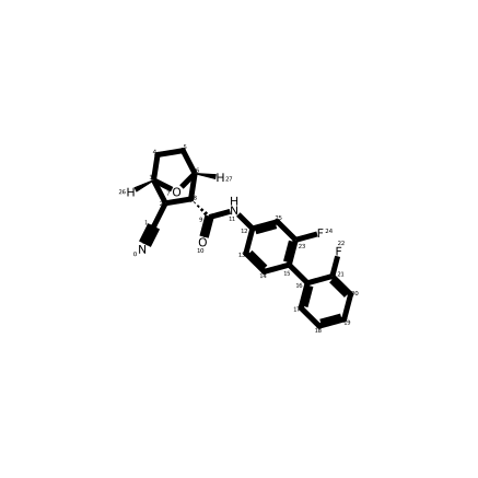 N#CC1[C@@H]2CC[C@@H](O2)[C@@H]1C(=O)Nc1ccc(-c2ccccc2F)c(F)c1